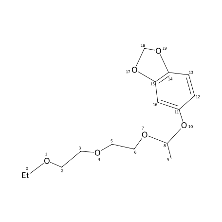 CCOCCOCCOC(C)Oc1ccc2c(c1)OCO2